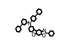 c1ccc(-c2ccc(N(c3cccc(-c4ccccc4)c3)c3ccc4oc5cc6oc(-c7ccccc7)nc6cc5c4c3)cc2)cc1